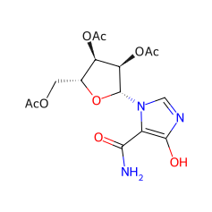 CC(=O)OC[C@H]1O[C@@H](n2cnc(O)c2C(N)=O)[C@H](OC(C)=O)[C@@H]1OC(C)=O